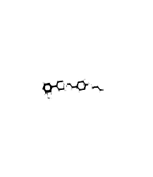 O=C(CCC(F)(F)F)NC1CCC(CCN2CCC(c3cccc4c3OCO4)CC2)CC1